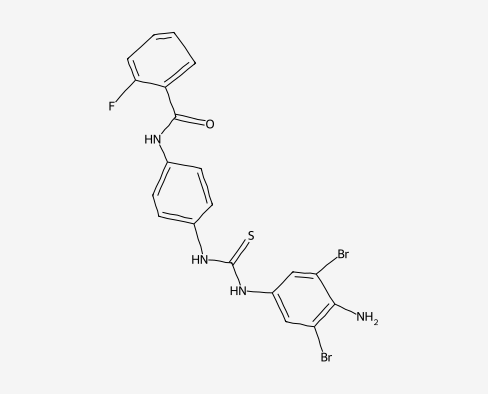 Nc1c(Br)cc(NC(=S)Nc2ccc(NC(=O)c3ccccc3F)cc2)cc1Br